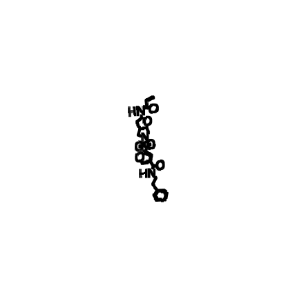 C=CC(=O)NC1CC2CN(S(=O)(=O)c3cc(C(=O)NCCc4ccccc4)co3)CC2O1